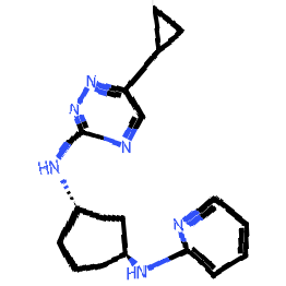 c1ccc(N[C@H]2CC[C@H](Nc3ncc(C4CC4)nn3)C2)nc1